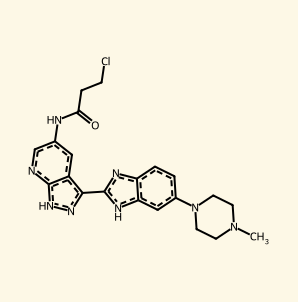 CN1CCN(c2ccc3nc(-c4n[nH]c5ncc(NC(=O)CCCl)cc45)[nH]c3c2)CC1